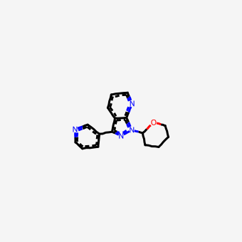 c1cncc(-c2nn(C3CCCCO3)c3ncccc23)c1